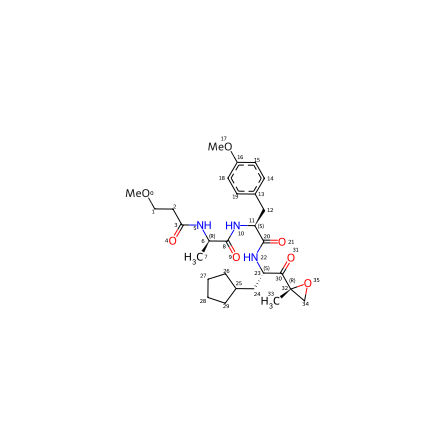 COCCC(=O)N[C@H](C)C(=O)N[C@@H](Cc1ccc(OC)cc1)C(=O)N[C@@H](CC1CCCC1)C(=O)[C@@]1(C)CO1